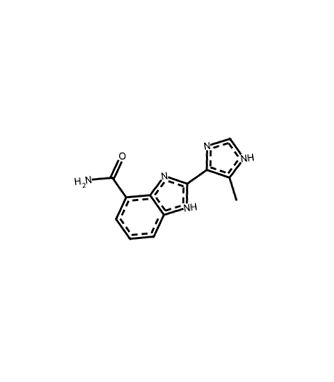 Cc1[nH]cnc1-c1nc2c(C(N)=O)cccc2[nH]1